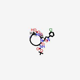 CC(C)(C)OC(=O)N[C@H]1CCCCC/C=C\[C@@H]2C[C@@]2(C(=O)O)NC(=O)[C@@H]2C[C@@]3(CC(c4cccc(Cl)c4)=NO3)CN2C1=O